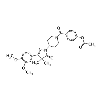 COc1ccc(C2=NN(C3CCN(C(=O)c4ccc(OC(C)=O)cc4)CC3)C(=O)C2(C)C)cc1OC